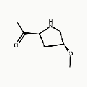 CO[C@@H]1CN[C@H](C(C)=O)C1